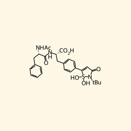 CC(=O)N[C@@H](Cc1ccccc1)C(=O)N[C@@H](Cc1ccc(C2=CC(=O)N(C(C)(C)C)S2(O)O)cc1)C(=O)O